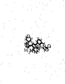 CC(C)[C@H]1COC(=O)N1Cc1cccc(-c2cc(-c3ccnn3C3CCOCC3)c3c(N)ncnn23)c1